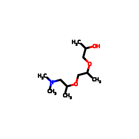 CC(O)COC(C)COC(C)CN(C)C